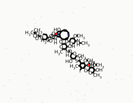 CCN[C@H]1CO[C@@H](O[C@H]2[C@H](O[C@H]3C#C/C=C\C#C[C@]4(O)CC(=O)C(NC(=O)OC)=C3/C4=C\CSSC3CCN(C(=O)OC(C)(C)C)CC3)O[C@H](C)[C@@H](NO[C@H]3C[C@H](O)[C@H](SC(=O)c4c(C)c(I)c(O[C@@H]5O[C@@H](C)[C@H](O)[C@@H](OC)[C@H]5O)c(OC)c4OC)[C@@H](C)O3)[C@@H]2O)C[C@@H]1OC